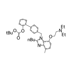 CCCCc1nc2c(C)ccc(OCCN(CC)CC)c2n1Cc1ccc(-c2ccccc2OC(=O)OC(C)(C)C)cc1